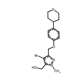 Cn1nc(COc2ccc(C3CCOCC3)cc2)c(Br)c1CO